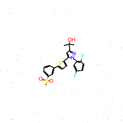 CC(C)(O)c1cc(-c2ccc(-c3cccc(S(C)(=O)=O)c3)s2)n(-c2cc(F)ccc2F)n1